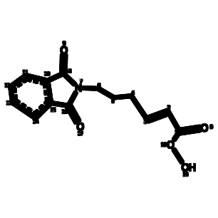 O=C(C=CCCCN1C(=O)c2ccccc2C1=O)OO